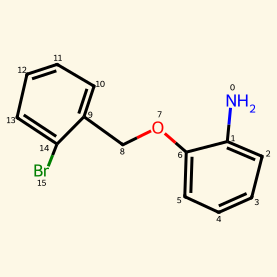 Nc1ccccc1OCc1ccccc1Br